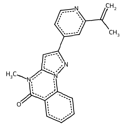 C=C(C)c1cc(-c2cc3n(C)c(=O)c4ccccc4n3n2)ccn1